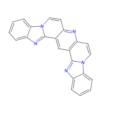 c1ccc2c(c1)nc1c3cc4c(ccn5c6ccccc6nc45)nc3ccn21